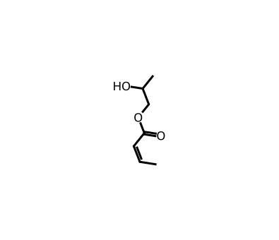 C/C=C\C(=O)OCC(C)O